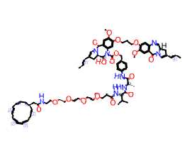 C/C=C/C1=CN2C(=O)c3cc(OC)c(OCCCOc4cc5c(cc4OC)C(=O)N4C=C(/C=C/C)C[C@H]4C=N5)cc3N(C(=O)OCc3ccc(NC(=O)[C@H](C)NC(=O)[C@@H](NC(=O)CCOCCOCCOCCOCCNC(=O)CC4=C/C=C\C=C/C=C\C=C/C=C\4)C(C)C)cc3)[C@@H](O)C2C1